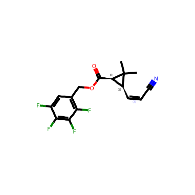 CC1(C)[C@H](C(=O)OCc2cc(F)c(F)c(F)c2F)[C@@H]1/C=C\C#N